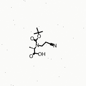 C[C@H](C(=O)O)N(CCC#N)C(=O)OC(C)(C)C